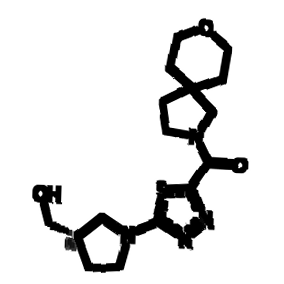 O=C(c1nnc(N2CC[C@H](CO)C2)s1)N1CCC2(CCOCC2)C1